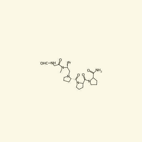 CC(C)[C@@H](CN1CCC[C@H]1C(=O)N1CCCC1C(=O)N1CCCC1C(N)=O)N(C)C(=O)CNC=O